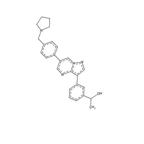 CC(O)c1cccc(-c2cnn3cc(-c4ccc(CN5CCCC5)cc4)cnc23)c1